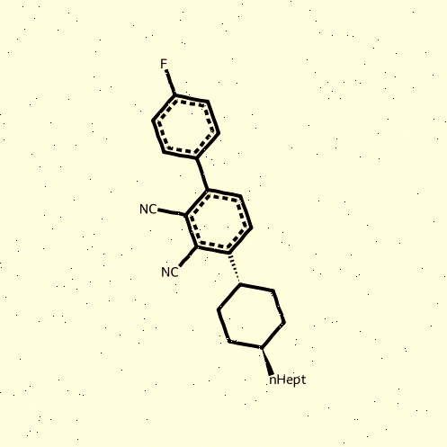 CCCCCCC[C@H]1CC[C@H](c2ccc(-c3ccc(F)cc3)c(C#N)c2C#N)CC1